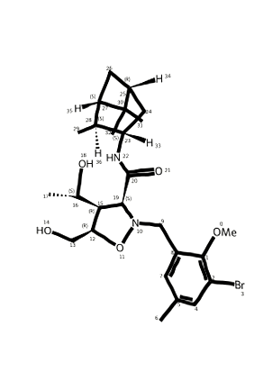 COc1c(Br)cc(C)cc1CN1O[C@@H](CO)[C@@H]([C@H](C)O)[C@H]1C(=O)N[C@H]1C[C@H]2C[C@@H]([C@@H]1C)C2(C)C